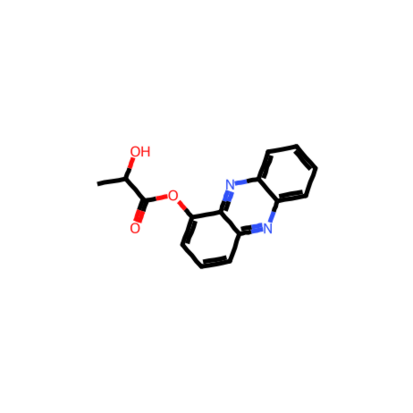 CC(O)C(=O)Oc1cccc2nc3ccccc3nc12